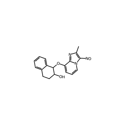 Cc1nc2c(OC3c4ccccc4CCC3O)cccn2c1N=O